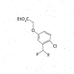 CCOC(=O)COc1ccc(Cl)c(C(F)F)c1